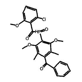 COc1cccc(Cl)c1C(=O)[PH](=O)c1c(OC)c(C)c(C(=O)c2ccccc2)c(C)c1OC